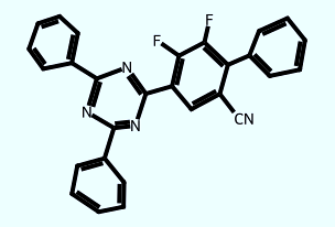 N#Cc1cc(-c2nc(-c3ccccc3)nc(-c3ccccc3)n2)c(F)c(F)c1-c1ccccc1